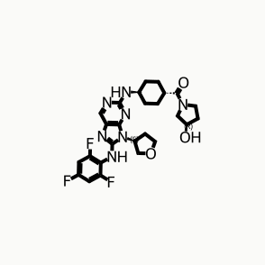 O=C([C@H]1CC[C@H](Nc2ncc3nc(Nc4c(F)cc(F)cc4F)n([C@H]4CCOC4)c3n2)CC1)N1CC[C@@H](O)C1